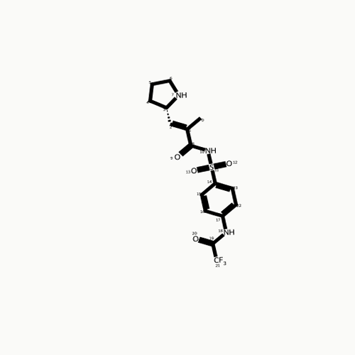 C/C(=C\[C@@H]1CCCN1)C(=O)NS(=O)(=O)c1ccc(NC(=O)C(F)(F)F)cc1